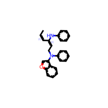 C/C=C\C(=C/CN(c1ccccc1)c1coc2ccccc12)Nc1ccccc1